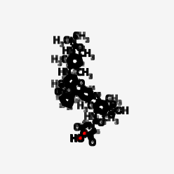 Cc1cc(C)c(Nc2ccc3c(-c4ccccc4S(=O)(=O)O)c4cc/c(=N\c5c(C)c(NC(=O)N(CC(=O)OO)CC(=O)OO)c(C)c(S(=O)(=O)O)c5C)cc-4oc3c2)c(C)c1NC(=O)N(C)C